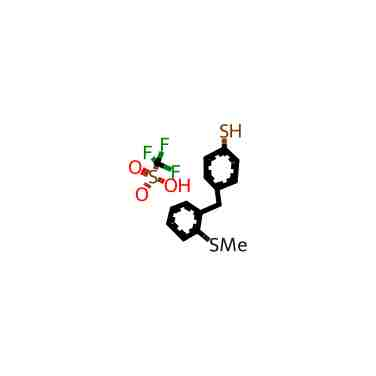 CSc1ccccc1Cc1ccc(S)cc1.O=S(=O)(O)C(F)(F)F